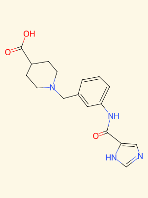 O=C(Nc1cccc(CN2CCC(C(=O)O)CC2)c1)c1cnc[nH]1